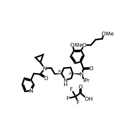 COCCCOc1cc(C(=O)N(C(C)C)[C@@H]2CC[C@H](CCN(C(=O)Cc3cccnc3)C3CC3)NC2)ccc1OC.O=C(O)C(F)(F)F